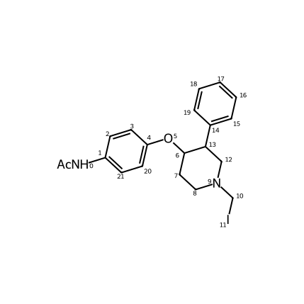 CC(=O)Nc1ccc(OC2CCN(CI)CC2c2ccccc2)cc1